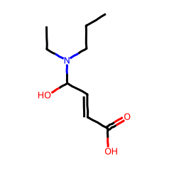 CCCN(CC)C(O)/C=C/C(=O)O